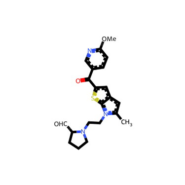 COc1ccc(C(=O)c2cc3cc(C)n(CCN4CCCC4C=O)c3s2)cn1